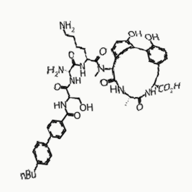 CCCCc1ccc(-c2ccc(C(=O)N[C@H](CO)C(=O)N[C@H](N)C(=O)N[C@@H](CCCCN)C(=O)N(C)[C@@H]3C(=O)N[C@@H](C)C(=O)N[C@H](C(=O)O)Cc4ccc(O)c(c4)-c4cc3ccc4O)cc2)cc1